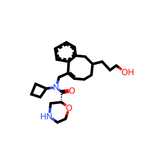 O=C([C@H]1CNCCO1)N(C/C1=C/CCC(CCCO)Cc2ccccc21)C1CCC1